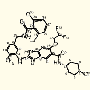 O=C(N[C@H]1CC[C@H](C(F)(F)F)CC1)c1cc2nc(Nc3cc(CNC(=O)c4c(F)cccc4Cl)ccc3C(F)(F)F)[nH]c2nc1OCC(F)F